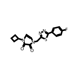 O=c1c(=O)n(C2CCC2)ccn1Cc1nnc(-c2ccc(F)cc2)s1